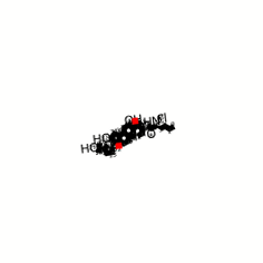 CCCC[C@H](NCl)C(=O)O[C@H]1CC[C@]23C[C@]24CC[C@]2(C)[C@@H]([C@@]5(C)CC[C@@H](C(C)(C)O)O5)[C@@H](O)C[C@@]2(C)C4C[C@H](O)[C@H]3C1(C)C